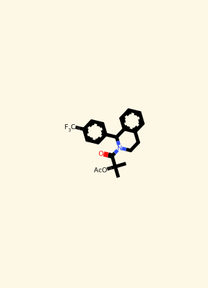 CC(=O)OC(C)(C)C(=O)N1CCc2ccccc2C1c1ccc(C(F)(F)F)cc1